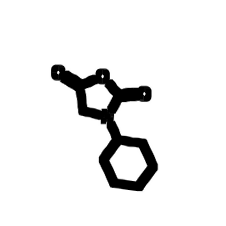 O=C1CN(C2CCCCC2)C(=O)O1